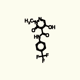 Cn1ncc(O)c(C(=O)Nc2ccc(C(F)(F)F)cc2)c1=O